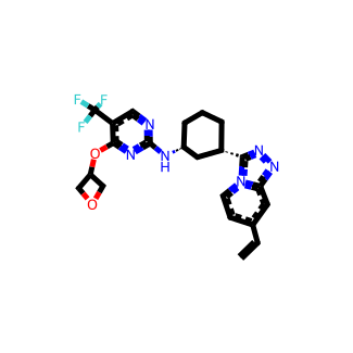 C=Cc1ccn2c([C@H]3CCC[C@@H](Nc4ncc(C(F)(F)F)c(OC5COC5)n4)C3)nnc2c1